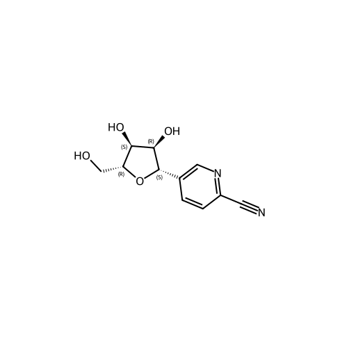 N#Cc1ccc([C@@H]2O[C@H](CO)[C@@H](O)[C@H]2O)cn1